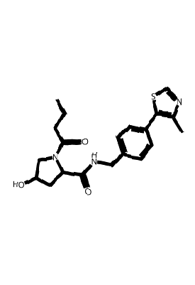 CCCC(=O)N1CC(O)CC1C(=O)NCc1ccc(-c2scnc2C)cc1